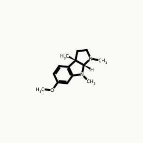 COc1ccc2c(c1)N(C)[C@H]1N(C)CC[C@@]21C